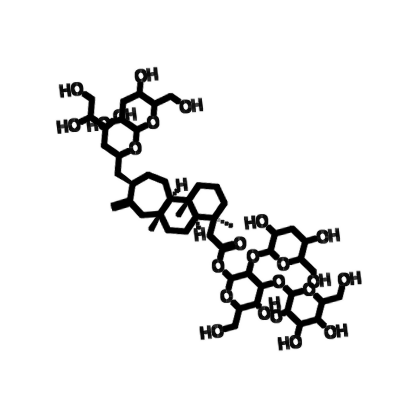 C=C1C[C@@]2(C)CC[C@@H]3[C@](C)(CC(=O)OC4OC(CO)C(O)C(OC5OC(CO)C(O)C(O)C5O)C4OC4OC(CO)C(O)CC4O)CCC[C@@]3(C)[C@@H]2CC[C@@H]1CC(CC(O)C(O)CO)OC1OC(CO)C(O)CC1O